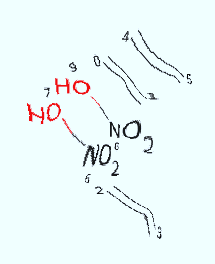 C=C.C=C.C=C.O=[N+]([O-])O.O=[N+]([O-])O